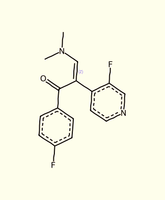 CN(C)/C=C(\C(=O)c1ccc(F)cc1)c1ccncc1F